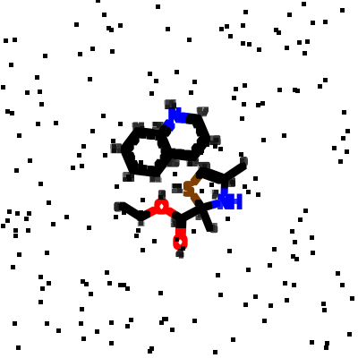 CCOC(=O)C1(C)NC(C)=CS1.c1ccc2ncccc2c1